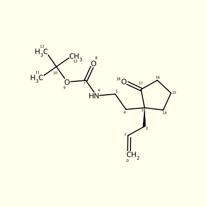 C=CC[C@]1(CCNC(=O)OC(C)(C)C)CCCC1=O